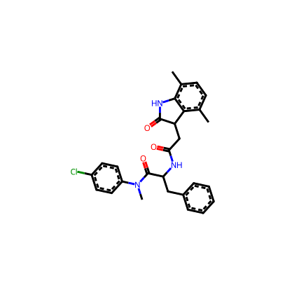 Cc1ccc(C)c2c1NC(=O)C2CC(=O)NC(Cc1ccccc1)C(=O)N(C)c1ccc(Cl)cc1